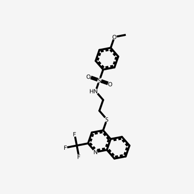 COc1ccc(S(=O)(=O)NCCSc2cc(C(F)(F)F)nc3ccccc23)cc1